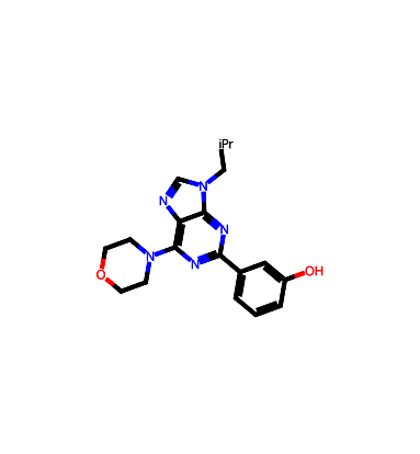 CC(C)Cn1cnc2c(N3CCOCC3)nc(-c3cccc(O)c3)nc21